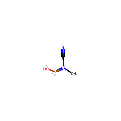 C[N+](C#N)=[SH]O